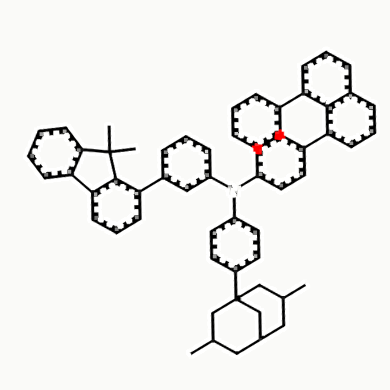 CC1CC2CC(C)CC(c3ccc(N(c4ccc(-c5cccc6cccc(-c7ccccc7)c56)cc4)c4cccc(-c5cccc6c5C(C)(C)c5ccccc5-6)c4)cc3)(C1)C2